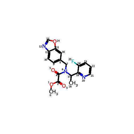 COC(=O)C(=O)N(Cc1ccc2ncoc2c1)C(C)c1ncccc1F